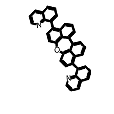 c1cnc2c(-c3ccc4oc5ccc(-c6cccc7cccnc67)c6cccc(c7cccc3c47)c56)cccc2c1